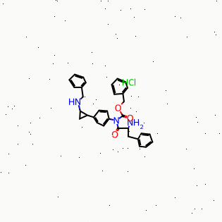 Cl.N[C@@H](Cc1ccccc1)C(=O)N(C(=O)OCc1ccccc1)c1ccc(C2CC2NCc2ccccc2)cc1